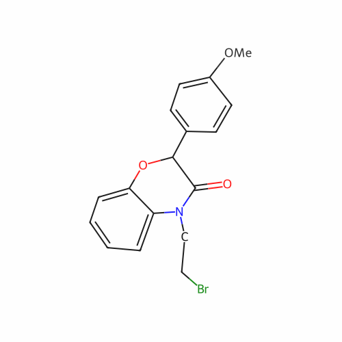 COc1ccc(C2Oc3ccccc3N(CCBr)C2=O)cc1